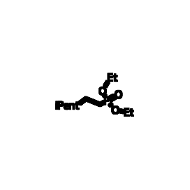 C[CH]CC(C)CCP(=O)(OCC)OCC